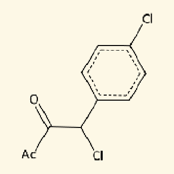 CC(=O)C(=O)C(Cl)c1ccc(Cl)cc1